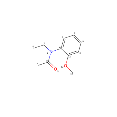 CCN(C(C)=O)c1ccccc1OC